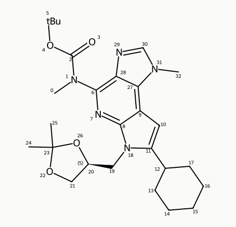 CN(C(=O)OC(C)(C)C)c1nc2c(cc(C3CCCCC3)n2C[C@H]2COC(C)(C)O2)c2c1ncn2C